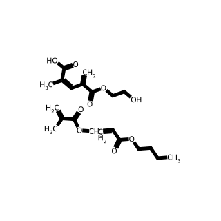 C=C(C)C(=O)OC.C=C(C=C(C)C(=O)O)C(=O)OCCO.C=CC(=O)OCCCC